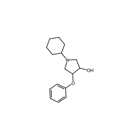 OC1CN(C2CCCCC2)CC1Oc1ccccc1